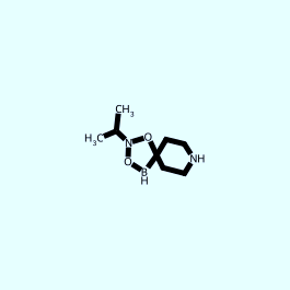 CC(C)N1OBC2(CCNCC2)O1